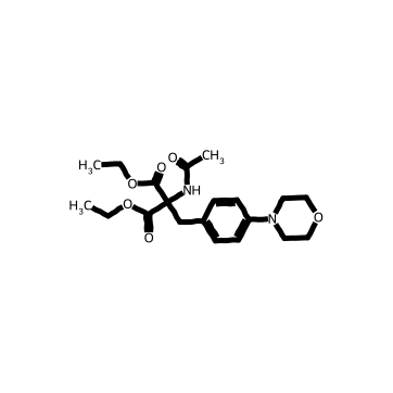 CCOC(=O)C(Cc1ccc(N2CCOCC2)cc1)(NC(C)=O)C(=O)OCC